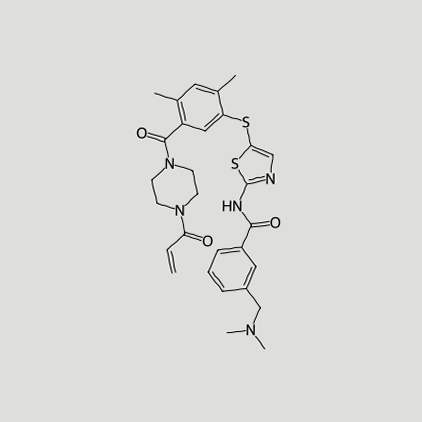 C=CC(=O)N1CCN(C(=O)c2cc(Sc3cnc(NC(=O)c4cccc(CN(C)C)c4)s3)c(C)cc2C)CC1